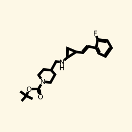 CC(C)(C)OC(=O)N1CCC(CNC2CC2/C=C/c2ccccc2F)CC1